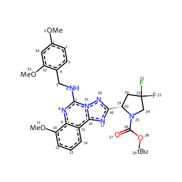 COc1ccc(CNc2nc3c(OC)cccc3c3nc([C@@H]4CC(F)(F)CN4C(=O)OC(C)(C)C)nn23)c(OC)c1